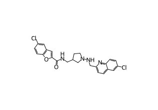 O=C(NCC1CCN(NCc2ccc3cc(Cl)ccc3n2)C1)c1cc2cc(Cl)ccc2o1